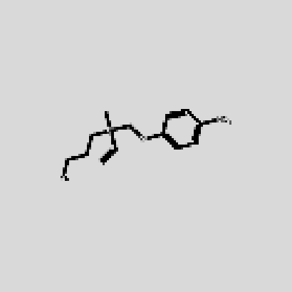 C=C[Si](C)(CCCC#N)COc1ccc([N+](=O)[O-])cc1